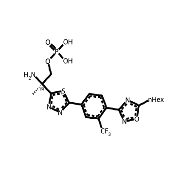 CCCCCCc1nc(-c2ccc(-c3nnc([C@@](C)(N)COP(=O)(O)O)s3)cc2C(F)(F)F)no1